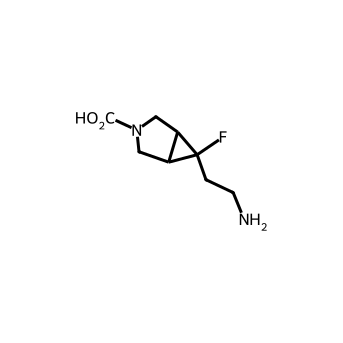 NCCC1(F)C2CN(C(=O)O)CC21